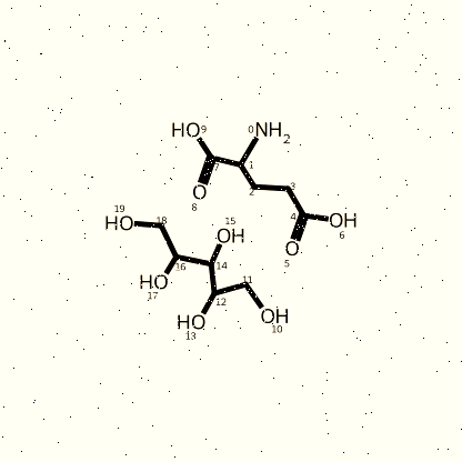 NC(CCC(=O)O)C(=O)O.OCC(O)C(O)C(O)CO